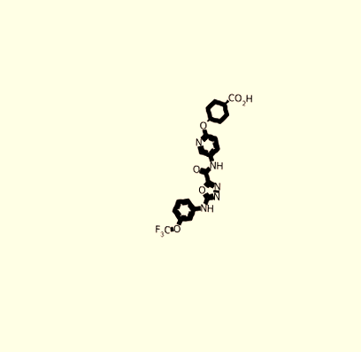 O=C(Nc1ccc(O[C@H]2CC[C@H](C(=O)O)CC2)nc1)c1nnc(Nc2cccc(OC(F)(F)F)c2)o1